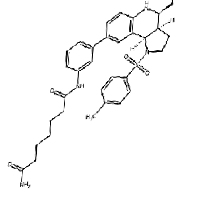 Cc1ccc(S(=O)(=O)N2CC[C@@H]3[C@H](CO)Nc4ccc(-c5cccc(NC(=O)CCCCCC(N)=O)c5)cc4[C@@H]32)cc1